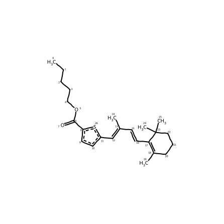 CCCCCOC(=O)c1ccc(C=C(C)C=CC2=C(C)CCCC2(C)C)s1